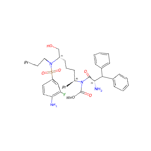 COC(=O)N(C(=O)[C@@H](N)C(c1ccccc1)c1ccccc1)[C@H](CCC[C@@H](CO)N(CCC(C)C)S(=O)(=O)c1ccc(N)c(F)c1)C(C)C